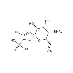 C=C[C@H]1O[C@](/C=C/O)(CCP(=O)(O)O)[C@@H](O)[C@H](O)[C@@H]1NC(C)=O